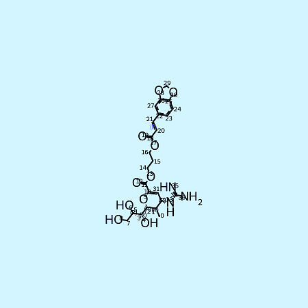 C[C@H]1[C@H]([C@H](O)[C@H](O)CO)OC(C(=O)OCCCOC(=O)/C=C/c2ccc3c(c2)OCO3)=C[C@@H]1NC(=N)N